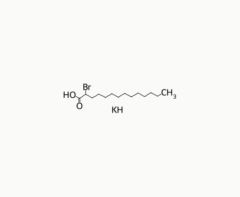 CCCCCCCCCCCCC(Br)C(=O)O.[KH]